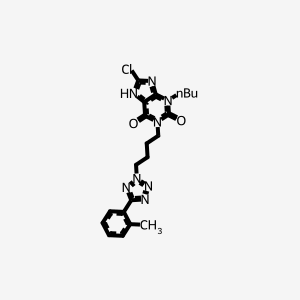 CCCCn1c(=O)n(CCCCn2nnc(-c3ccccc3C)n2)c(=O)c2[nH]c(Cl)nc21